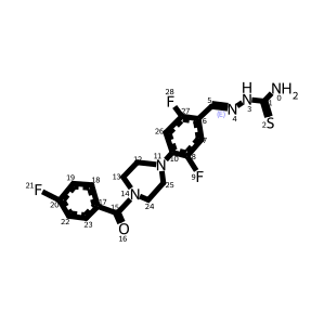 NC(=S)N/N=C/c1cc(F)c(N2CCN(C(=O)c3ccc(F)cc3)CC2)cc1F